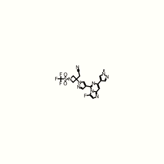 Cn1cc(-c2cc3ncc(F)n3c(-c3cnn(C4(CC#N)CN(S(=O)(=O)C(F)(F)F)C4)c3)n2)cn1